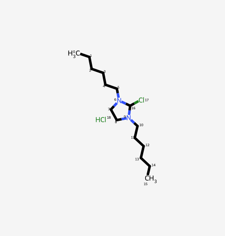 CCCCCCN1CCN(CCCCCC)C1Cl.Cl